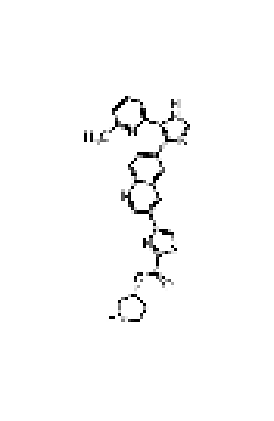 Cc1cccc(-c2[nH]cnc2-c2ccc3ncc(-c4csc(C(=O)O[C@@H]5CCNC5)n4)cc3c2)n1